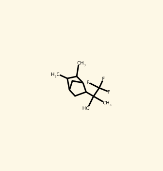 CC1C2CC(C1C)C(C(C)(O)C(F)(F)F)C2